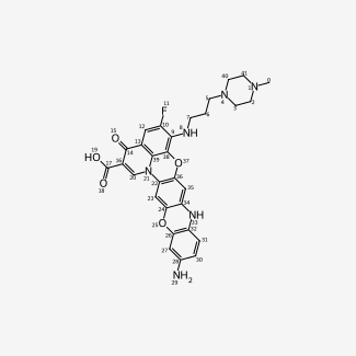 CN1CCN(CCCNc2c(F)cc3c(=O)c(C(=O)O)cn4c5cc6oc7cc(N)ccc7[nH]c6cc5oc2c34)CC1